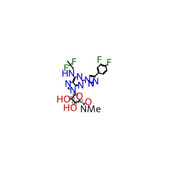 CNC(=O)[C@H]1O[C@@H](n2cnc3c(NCC(C)(F)F)nc(-n4cc(-c5ccc(F)c(F)c5)nn4)nc32)[C@H](O)[C@@H]1O